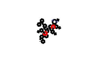 CC(C)(C)/C1=C/c2c(n(-c3ccc4c(c3)N(c3ccc(C(C)(C)C)cc3-c3ccccc3)c3cc(-c5cccc6c5oc5ccc7sc8ccccc8c7c56)cc5c3B4c3ccc(-n4c6ccccc6c6ccccc64)cc3N5c3ccc(C(C)(C)C)cc3-c3ccccc3)c3ccc(C(C)(C)C)cc23)C/C=C\C1